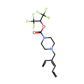 C=C/C=C(\C=C)CN1CCN(C(=O)OC(C(F)(F)F)C(F)(F)F)CC1